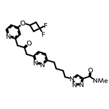 CNC(=O)c1cn(CCCCc2ccc(CC(=O)Cc3cc(OC4CC(F)(F)C4)ccn3)nn2)nn1